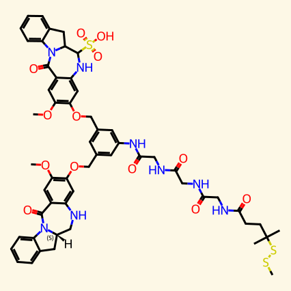 COc1cc2c(cc1OCc1cc(COc3cc4c(cc3OC)C(=O)N3c5ccccc5C[C@H]3CN4)cc(NC(=O)CNC(=O)CNC(=O)CNC(=O)CCC(C)(C)SSC)c1)NC(S(=O)(=O)O)C1Cc3ccccc3N1C2=O